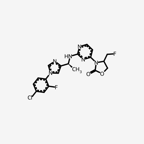 C[C@H](Nc1nccc(N2C(=O)OCC2CF)n1)c1cn(-c2ccc(Cl)cc2F)cn1